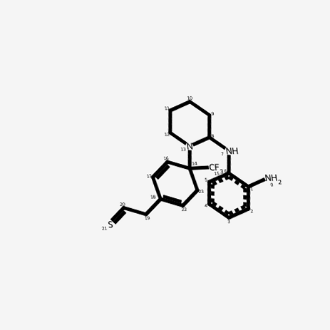 Nc1ccccc1NC1CCCCN1C1(C(F)(F)F)C=CC(CC=S)=CC1